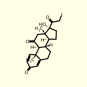 C[C@]12C=CC(=O)C=C1CC[C@@H]1[C@@H]2C(=O)C[C@@]2(C)[C@H]1CC[C@]2(O)C(=O)CI